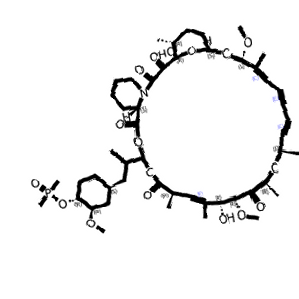 CO[C@H]1C[C@@H]2CC[C@@H](C)[C@@](O)(O2)C(=O)C(=O)N2CCCC[C@H]2C(=O)OC(C(C)C[C@@H]2CC[C@@H](OP(C)(C)=O)[C@H](OC)C2)CC(=O)[C@H](C)/C=C(\C)[C@@H](O)[C@@H](OC)C(=O)[C@H](C)C[C@H](C)/C=C/C=C/C=C/1C